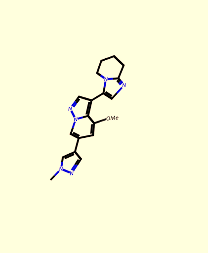 COc1cc(-c2cnn(C)c2)cn2ncc(-c3cnc4n3CCCC4)c12